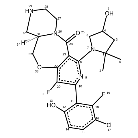 CC1(C)CC(O)CN1c1nc(-c2c(O)ccc(Cl)c2F)c(F)c2c1C(=O)N1CCNC[C@@H]1CO2